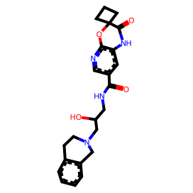 O=C(NCC(O)CN1CCc2ccccc2C1)c1cnc2c(c1)NC(=O)C1(CCC1)O2